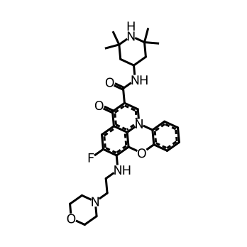 CC1(C)CC(NC(=O)c2cn3c4c(c(NCCN5CCOCC5)c(F)cc4c2=O)Oc2ccccc2-3)CC(C)(C)N1